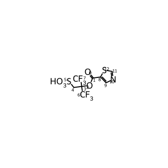 O=C(OC(CS(=O)(=O)O)(C(F)(F)F)C(F)(F)F)c1cncs1